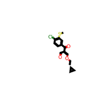 C1CC1.CCOC=C(C=O)C(=O)c1ccc(Cl)c(SC)c1